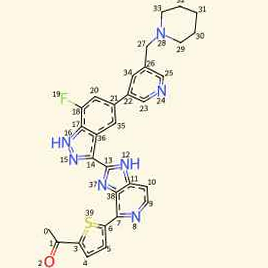 CC(=O)c1ccc(-c2nccc3[nH]c(-c4n[nH]c5c(F)cc(-c6cncc(CN7CCCCC7)c6)cc45)nc23)s1